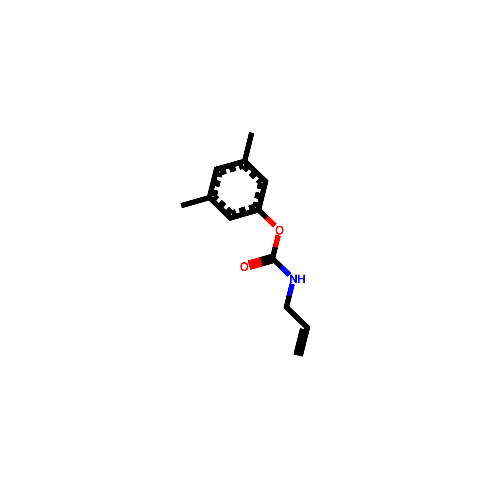 C=CCNC(=O)Oc1cc(C)cc(C)c1